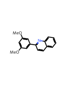 COc1cc(OC)cc(-c2ccc3ccccc3n2)c1